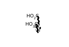 CC(C)[CH2][Al].CC=CC=CC(=O)O.CC=CC=CC(=O)O